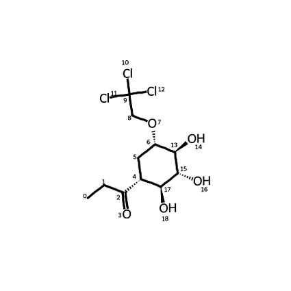 CCC(=O)[C@@H]1C[C@H](OCC(Cl)(Cl)Cl)[C@@H](O)[C@H](O)[C@H]1O